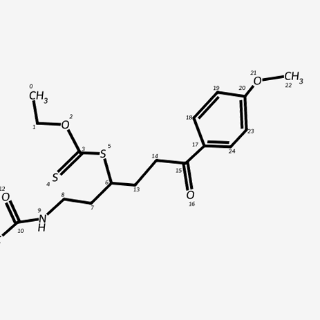 CCOC(=S)SC(CCNC(C)=O)CCC(=O)c1ccc(OC)cc1